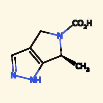 C[C@H]1c2[nH]ncc2CN1C(=O)O